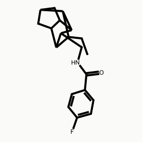 CCC1C2C3CC4CC3C(C2CNC(=O)c2ccc(F)cc2)C41